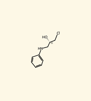 O[C@H](CCl)CNc1ccccc1